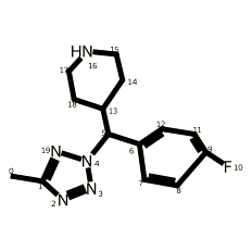 Cc1nnn(C(c2ccc(F)cc2)C2CCNCC2)n1